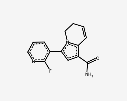 NC(=O)c1cc(-c2cccnc2F)n2c1C=CCC2